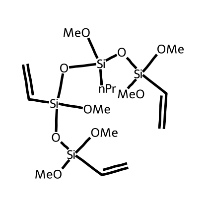 C=C[Si](OC)(OC)O[Si](C=C)(OC)O[Si](CCC)(OC)O[Si](C=C)(OC)OC